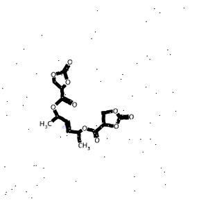 CC(/C=C/C(C)OC(=O)C1COC(=O)O1)OC(=O)C1COC(=O)O1